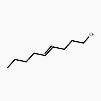 CCCCC=CCCC[O]